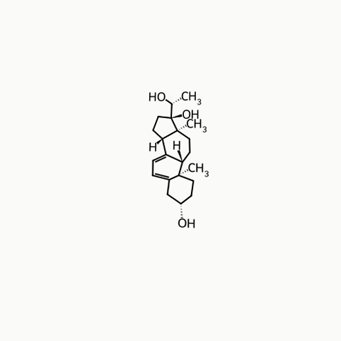 C[C@@H](O)[C@@]1(O)CC[C@H]2C3=CC=C4C[C@@H](O)CC[C@]4(C)[C@H]3CC[C@@]21C